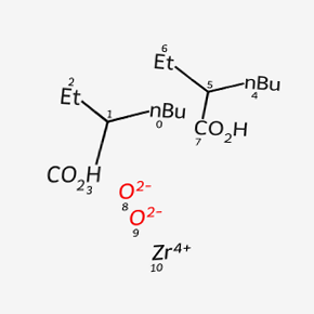 CCCCC(CC)C(=O)O.CCCCC(CC)C(=O)O.[O-2].[O-2].[Zr+4]